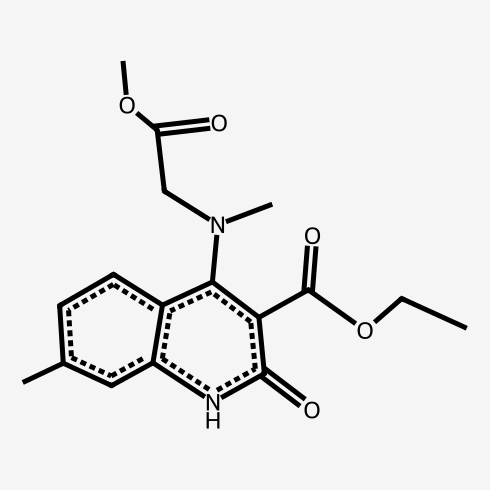 CCOC(=O)c1c(N(C)CC(=O)OC)c2ccc(C)cc2[nH]c1=O